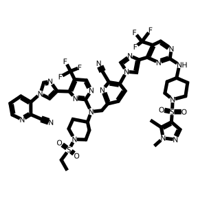 CCS(=O)(=O)N1CCC(N(Cc2ccc(-n3cnc(-c4nc(NC5CCN(S(=O)(=O)c6cnn(C)c6C)CC5)ncc4C(F)(F)F)c3)c(C#N)n2)c2ncc(C(F)(F)F)c(-c3cn(-c4cccnc4C#N)cn3)n2)CC1